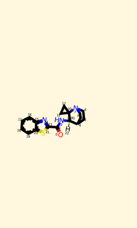 O=C(N[C@@H]1C2CCN(CC2)C12CC2)c1nc2ccccc2s1